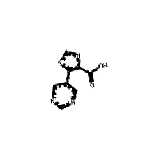 O=C(O)c1ncsc1-c1cncnc1